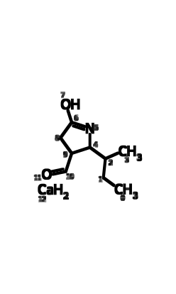 CCC(C)C1N=C(O)CC1C=O.[CaH2]